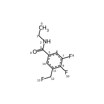 CCNC(=O)c1cc(F)c(F)c(CF)c1